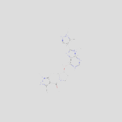 CCn1ncc(-c2nc3c(O[C@H]4CCN(C(=O)c5c(C)nn(C)c5C)C4)ncnc3n2C)c1C